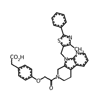 Cc1nc(-c2ccccc2)sc1Cn1c2c(c3cccnc31)CCN(C(=O)COc1ccc(CC(=O)O)cc1)C2